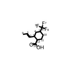 CC=CC1CC(C(F)(F)F)CCC1C(=O)O